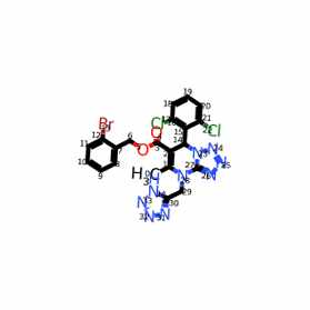 CC1=C(C(=O)OCc2ccccc2Br)C(c2c(Cl)cccc2Cl)n2nnnc2N1Cc1nnn[nH]1